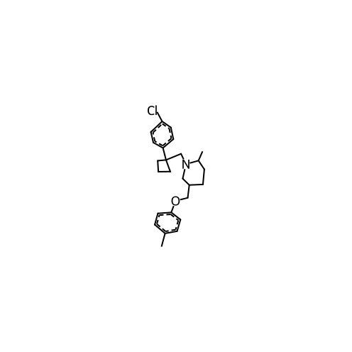 Cc1ccc(OCC2CCC(C)N(CC3(c4ccc(Cl)cc4)CCC3)C2)cc1